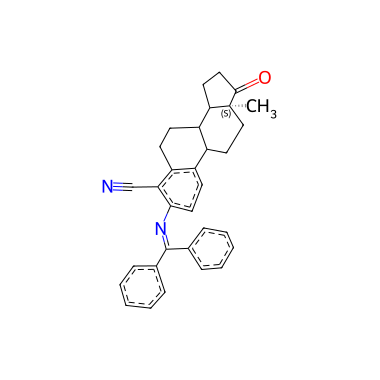 C[C@]12CCC3c4ccc(N=C(c5ccccc5)c5ccccc5)c(C#N)c4CCC3C1CCC2=O